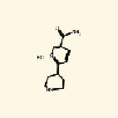 Cl.NC(=O)c1ccc(C2CCNCC2)nc1